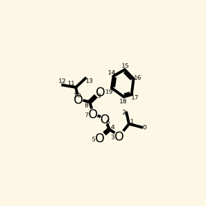 CC(C)OC(=O)OOC(=O)OC(C)C.c1ccccc1